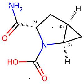 NC(=O)[C@@H]1C[C@H]2C[C@H]2N1C(=O)O